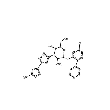 COC1C(n2cc(-c3csc(N)n3)nn2)[C@@H](O)C(CO)O[C@@H]1Sc1cc(Cl)cnc1-c1ccncc1